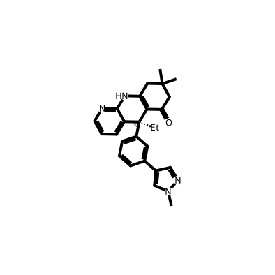 CC[C@@]1(c2cccc(-c3cnn(C)c3)c2)C2=C(CC(C)(C)CC2=O)Nc2ncccc21